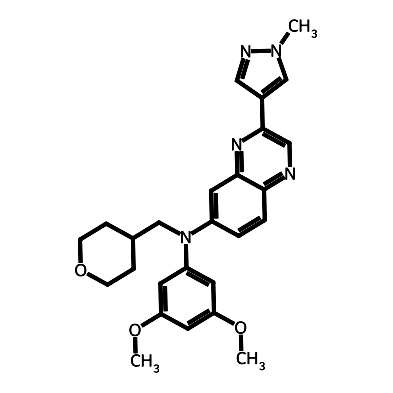 COc1cc(OC)cc(N(CC2CCOCC2)c2ccc3ncc(-c4cnn(C)c4)nc3c2)c1